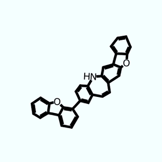 C1=Cc2cc3oc4ccccc4c3cc2Nc2ccc(-c3cccc4c3oc3ccccc34)cc21